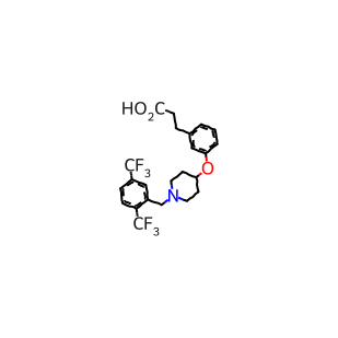 O=C(O)CCc1cccc(OC2CCN(Cc3cc(C(F)(F)F)ccc3C(F)(F)F)CC2)c1